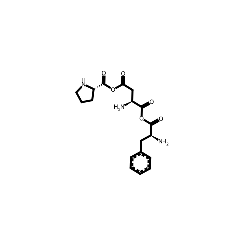 N[C@@H](CC(=O)OC(=O)[C@@H]1CCCN1)C(=O)OC(=O)[C@@H](N)Cc1ccccc1